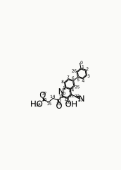 Cc1cccc(-c2ccc3nc(C(=O)CCC(=O)O)c(O)c(C#N)c3c2)c1